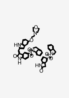 O=C1Cc2cc(S(=O)(=O)N3CCc4ccccc43)ccc2N1.O=C1Nc2ccc(S(=O)(=O)N3CCc4ccccc43)cc2/C1=C\c1cc2cc(OCCN3CCOCC3)ccc2[nH]1